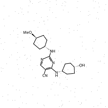 CO[C@H]1CC[C@H](Nc2ncc(C#N)c(N[C@H]3CC[C@@H](O)CC3)n2)CC1